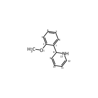 COc1ccccc1C1C=CC=CN1